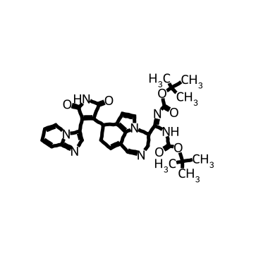 CC(C)(C)OC(=O)N=C(NC(=O)OC(C)(C)C)C1CN=CC2=CCC(C3=C(c4cnc5ccccn45)C(=O)NC3=O)c3ccn1c32